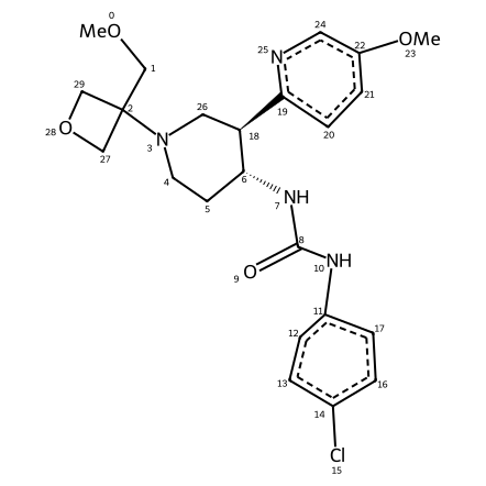 COCC1(N2CC[C@@H](NC(=O)Nc3ccc(Cl)cc3)[C@H](c3ccc(OC)cn3)C2)COC1